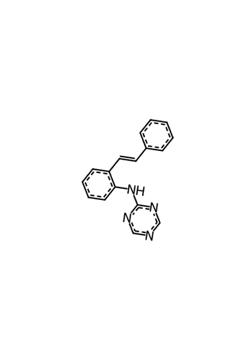 C(=Cc1ccccc1Nc1ncncn1)c1ccccc1